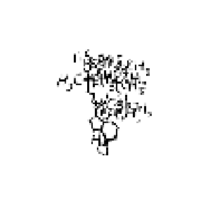 CC(C)(CCC[C@@H](CC[C@@H](O[Si](C)(C)C)C(C)(C)O[Si](C)(C)C)[C@H]1CC[C@H]2C(=O)CCC[C@]12C)O[Si](C)(C)C